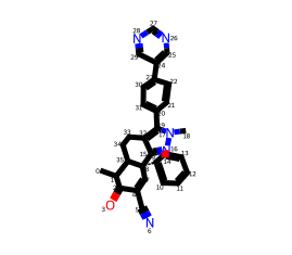 CC1C(=O)C(C#N)=C[C@]2(c3ccccc3)c3nn(C)c(-c4ccc(-c5cncnc5)cc4)c3CCC12